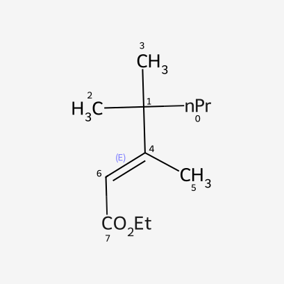 CCCC(C)(C)/C(C)=C/C(=O)OCC